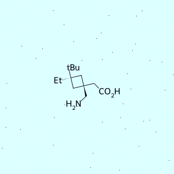 CC[C@]1(C(C)(C)C)C[C@](CN)(CC(=O)O)C1